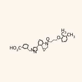 Cc1cccc(OCCCC(=O)N2CC3CC3c3c(-c4cnn(Cc5cccc(C(=O)O)c5)c4)cccc32)c1C